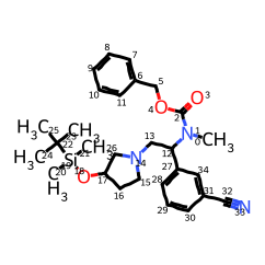 CN(C(=O)OCc1ccccc1)C(CN1CCC(O[Si](C)(C)C(C)(C)C)C1)c1cccc(C#N)c1